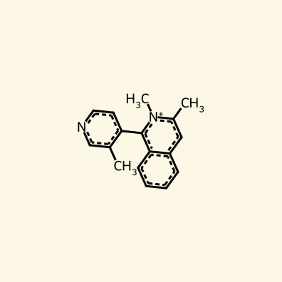 Cc1cnccc1-c1c2ccccc2cc(C)[n+]1C